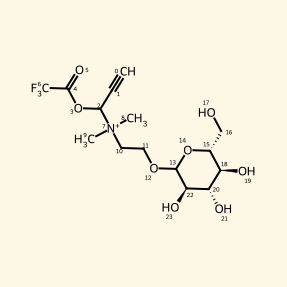 C#CC(OC(=O)C(F)(F)F)[N+](C)(C)CCOC1O[C@H](CO)[C@@H](O)[C@H](O)[C@H]1O